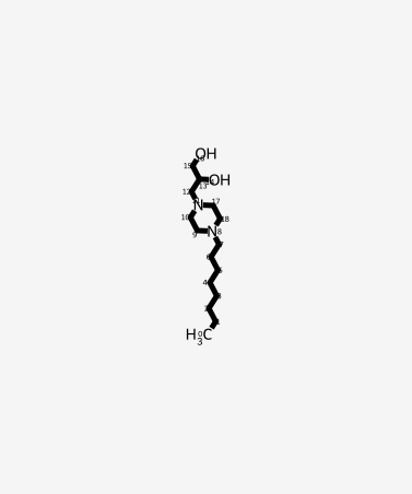 CCCCCCCCN1CCN(CC(O)CO)CC1